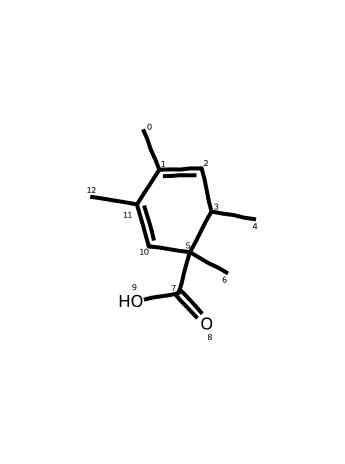 CC1=CC(C)C(C)(C(=O)O)C=C1C